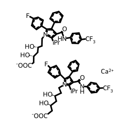 CC(C)c1c(C(=O)Nc2ccc(C(F)(F)F)cc2)c(-c2ccccc2)c(-c2ccc(F)cc2)n1CC[C@@H](O)C[C@@H](O)CC(=O)[O-].CC(C)c1c(C(=O)Nc2ccc(C(F)(F)F)cc2)c(-c2ccccc2)c(-c2ccc(F)cc2)n1CC[C@@H](O)C[C@@H](O)CC(=O)[O-].[Ca+2]